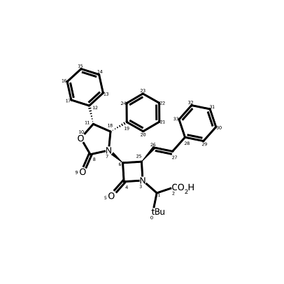 CC(C)(C)C(C(=O)O)N1C(=O)[C@@H](N2C(=O)O[C@H](c3ccccc3)[C@@H]2c2ccccc2)[C@H]1/C=C/c1ccccc1